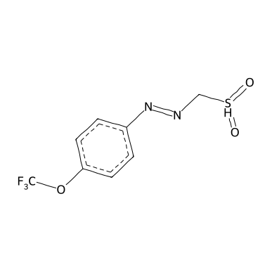 O=[SH](=O)CN=Nc1ccc(OC(F)(F)F)cc1